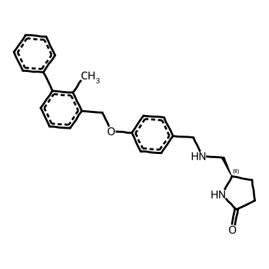 Cc1c(COc2ccc(CNC[C@H]3CCC(=O)N3)cc2)cccc1-c1ccccc1